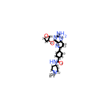 CC(C)N1CCC(NC(=O)c2ccc(-c3ccc4nc(N)nc(O[C@H]5CCOC5)c4n3)cc2)CC1